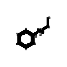 C[CH2][Mg][c]1ccccc1